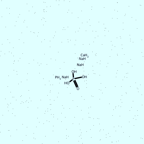 O=P(O)(O)O.P.[CaH2].[NaH].[NaH].[NaH]